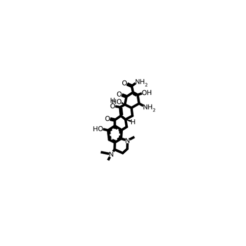 CN1CCC(N(C)C)c2cc(O)c3c(c21)C[C@H]1CC2C(N)C(O)=C(C(N)=O)C(=O)[C@@]2(O)C(O)=C1C3=O